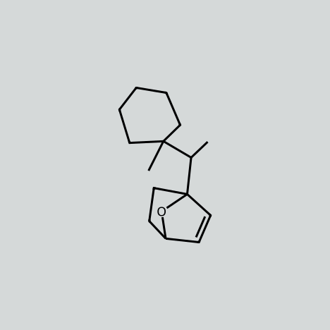 CC(C1(C)CCCCC1)C12C=CC(CC1)O2